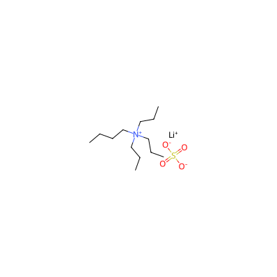 CCCC[N+](CCC)(CCC)CCC.O=S(=O)([O-])[O-].[Li+]